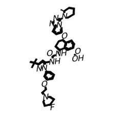 C[C@H]1CCCCN1c1nnc2ccc(O[C@@H]3CC[C@H](NC(=O)Nc4cc(C(C)(C)C)nn4-c4cccc(OCCN5CCC(F)CC5)c4)c4ccccc43)cn12.O=CO